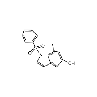 Cc1cc(O)cc2ccn(S(=O)(=O)c3ccccc3)c12